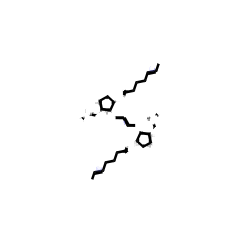 C/C=C/CCCC(=O)O[C@H]1C[C@@H](C)[C@H](C[N+](=O)[O-])[C@H]1C/C=C/C[C@@H]1[C@@H](C[N+](=O)[O-])[C@H](O)C[C@@H]1OC(=O)CCC/C=C/C